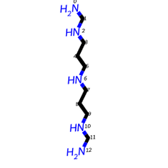 NCNCCCNCCCNCN